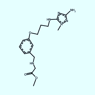 COC(=O)CNCc1cccc(OCCCNc2nc(N)nn2C)c1